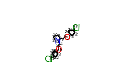 Clc1ccc(OCCC2CCCCN2CCOc2ccc(Cl)cc2)cc1